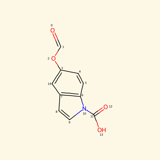 O=COc1ccc2c(ccn2C(=O)O)c1